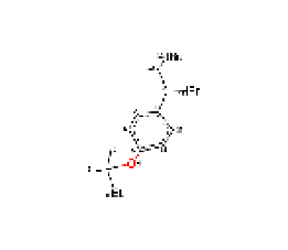 CCC(C)(C)Oc1ccc(C(CC(C)(C)C)C(C)C)cc1